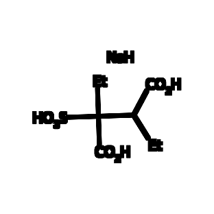 CCC(C(=O)O)C(CC)(C(=O)O)S(=O)(=O)O.[NaH]